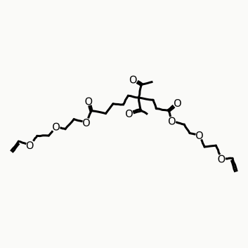 C=COCCOCCOC(=O)CCCCC(CCC(=O)OCCOCCOC=C)(C(C)=O)C(C)=O